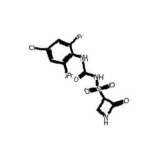 CC(C)c1cc(Cl)cc(C(C)C)c1NC(=O)NS(=O)(=O)C1CNC1=O